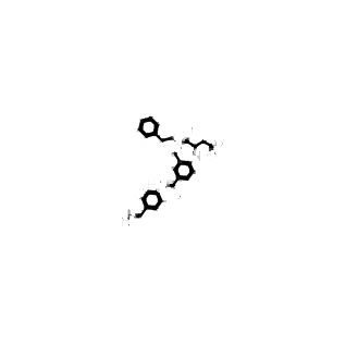 NN=Cc1ccc(NC(=O)c2ccc3c(c2)CN(CCc2ccccc2)C(=O)C(CC(=O)O)N3)cc1